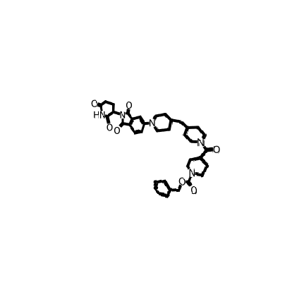 O=C1CCC(N2C(=O)c3ccc(N4CCC(CC5CCN(C(=O)C6CCN(C(=O)OCc7ccccc7)CC6)CC5)CC4)cc3C2=O)C(=O)N1